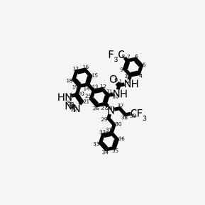 O=C(Nc1cccc(C(F)(F)F)c1)Nc1cc(-c2ccccc2-c2cnn[nH]2)ccc1N(CCc1ccccc1)CCC(F)(F)F